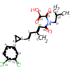 CC(/C=C/[C@@H]1C[C@H]1c1ccc(Cl)c(Cl)c1)=C\C(=O)N(CC(C)C)C(=O)C(=O)O